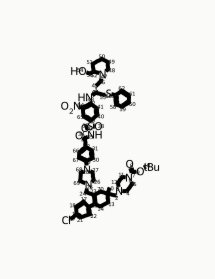 CC1(CN2CCN(C(=O)OC(C)(C)C)CC2)CCC(c2ccc(Cl)cc2)=C(CN2CCN(c3ccc(C(=O)NS(=O)(=O)c4ccc(N[C@H](CCN5CCCCC5CO)CSc5ccccc5)c([N+](=O)[O-])c4)cc3)CC2)C1